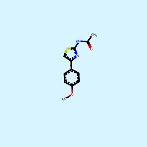 COc1ccc(-c2csc(NC(C)=O)n2)cc1